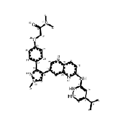 CC(C)C1=CNNC(Nc2ccc3ncc(-c4cn(C)nc4-c4ccc(OCC(=O)N(C)C)cc4)cc3n2)=C1